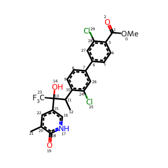 COC(=O)c1ccc(-c2ccc(C(C)C(O)(c3c[nH]c(=O)c(C)c3)C(F)(F)F)c(Cl)c2)cc1Cl